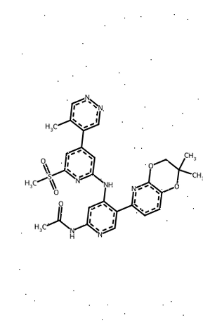 CC(=O)Nc1cc(Nc2cc(-c3cnncc3C)cc(S(C)(=O)=O)n2)c(-c2ccc3c(n2)OCC(C)(C)O3)cn1